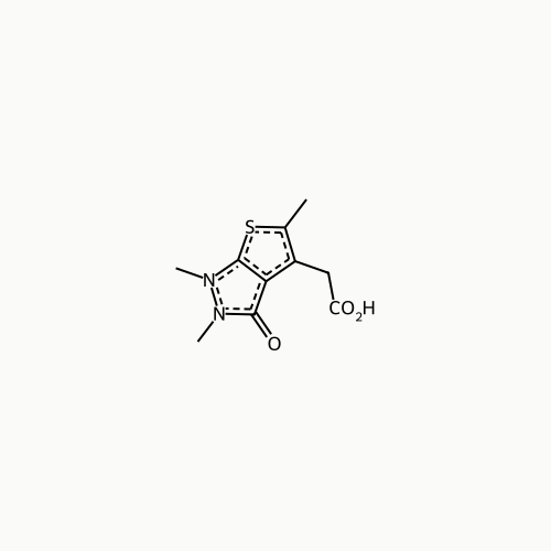 Cc1sc2c(c1CC(=O)O)c(=O)n(C)n2C